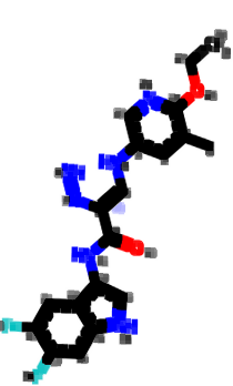 Cc1cc(N/C=C(\N=N)C(=O)Nc2c[nH]c3cc(F)c(F)cc23)cnc1OCC(F)(F)F